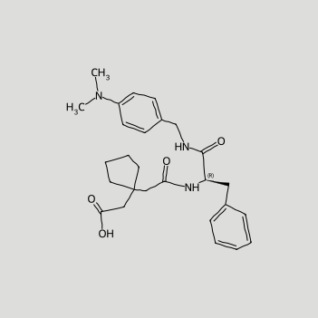 CN(C)c1ccc(CNC(=O)[C@@H](Cc2ccccc2)NC(=O)CC2(CC(=O)O)CCCC2)cc1